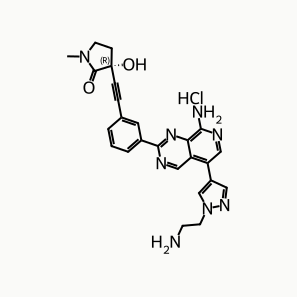 CN1CC[C@@](O)(C#Cc2cccc(-c3ncc4c(-c5cnn(CCN)c5)cnc(N)c4n3)c2)C1=O.Cl